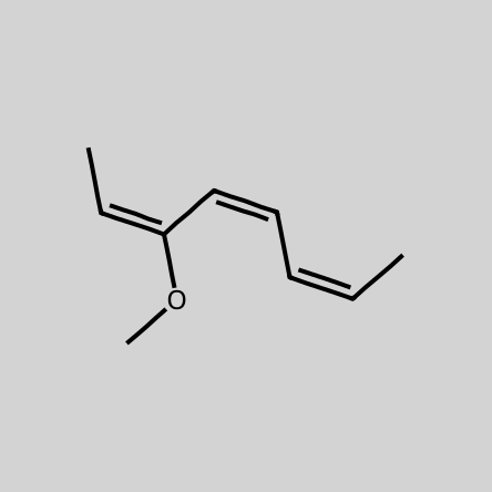 C\C=C/C=C\C(=C/C)OC